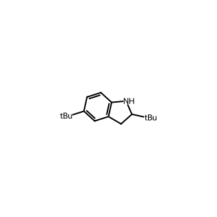 CC(C)(C)c1ccc2c(c1)CC(C(C)(C)C)N2